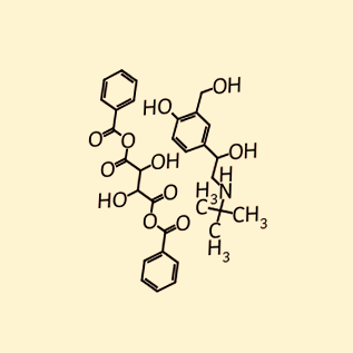 CC(C)(C)NCC(O)c1ccc(O)c(CO)c1.O=C(OC(=O)C(O)C(O)C(=O)OC(=O)c1ccccc1)c1ccccc1